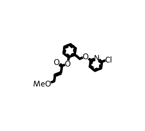 COCC=CC(=O)Oc1ccccc1COc1cccc(Cl)n1